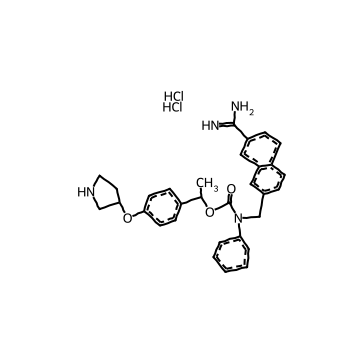 CC(OC(=O)N(Cc1ccc2ccc(C(=N)N)cc2c1)c1ccccc1)c1ccc(OC2CCNC2)cc1.Cl.Cl